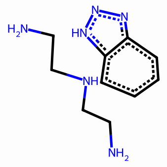 NCCNCCN.c1ccc2[nH]nnc2c1